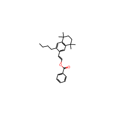 CCCCc1cc2c(cc1C=COC(=O)c1ccccc1)C(C)(C)CCC2(C)C